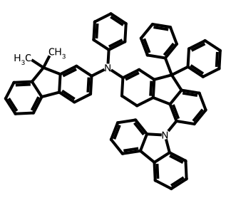 CC1(C)c2ccccc2-c2ccc(N(C3=CC4=C(CC3)c3c(-n5c6ccccc6c6ccccc65)cccc3C4(c3ccccc3)c3ccccc3)c3ccccc3)cc21